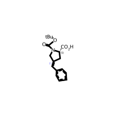 CC(C)(C)OC(=O)N1C/C(=C/c2ccccc2)C[C@H]1C(=O)O